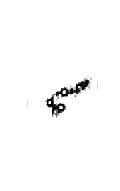 Cc1cc(CNCC2CCN(c3nccc(/C=C4/SC(=O)NC4=O)n3)CC2)nc(-c2cncc3ccccc23)c1